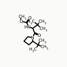 COC(=O)NC(C(=O)N1CCCC1C(C)(C)C)C(C)(C)C